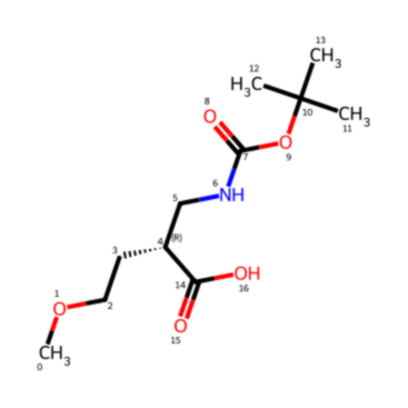 COCC[C@H](CNC(=O)OC(C)(C)C)C(=O)O